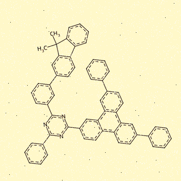 CC1(C)c2ccccc2-c2ccc(-c3cccc(-c4nc(-c5ccccc5)nc(-c5ccc6c7ccc(-c8ccccc8)cc7c7ccc(-c8ccccc8)cc7c6c5)n4)c3)cc21